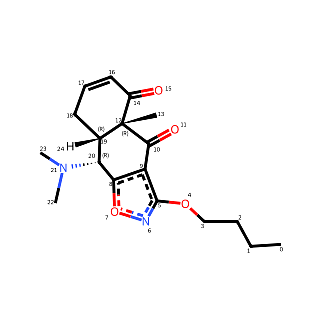 CCCCOc1noc2c1C(=O)[C@@]1(C)C(=O)C=CC[C@H]1[C@H]2N(C)C